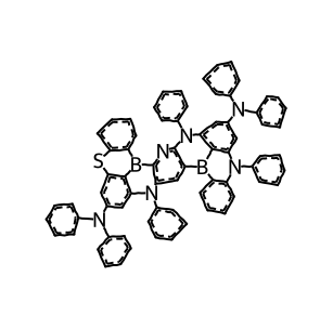 c1ccc(N(c2ccccc2)c2cc3c4c(c2)N(c2ccccc2)c2cc5c(nc2B4c2ccccc2S3)N(c2ccccc2)c2cc(N(c3ccccc3)c3ccccc3)cc3c2B5c2ccccc2N3c2ccccc2)cc1